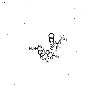 C=NC[C@@]1(c2ccc3c(N)ncnn23)O[C@H](COP(=O)(N[C@@H](C)C(=O)OCC(CC)CC)Oc2ccc3c(c2)CCCC3)[C@@H](OC(=O)C(C)C)[C@H]1OC(=O)C(C)C